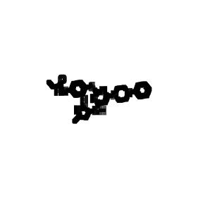 CCC(=O)Nc1ccc(Sc2nc(NC3CC(C)=NN3)cc(N3CCN(c4ccccc4)CC3)n2)cc1